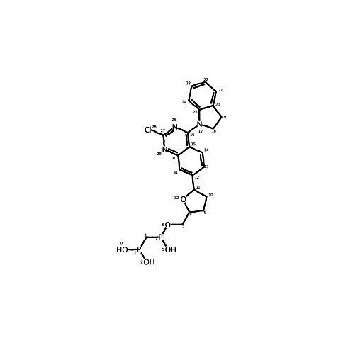 OP(O)CP(O)OCC1CCC(c2ccc3c(N4CCc5ccccc54)nc(Cl)nc3c2)O1